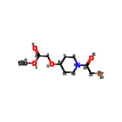 CC(C)(C)OC(=O)COC1CCN(C(=O)CBr)CC1